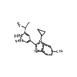 CC(F)C1=CC(c2nc3ccc(C#N)cc3n2C2CC2)=CNN1